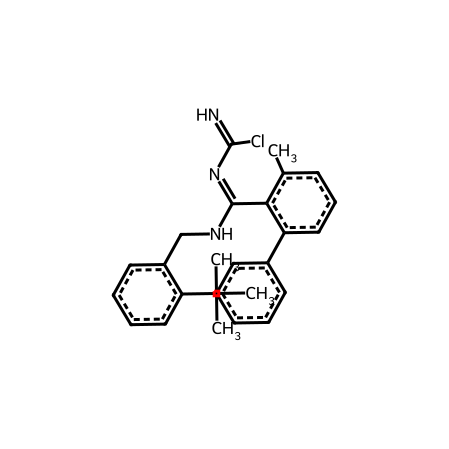 Cc1cccc(-c2ccccc2)c1/C(=N\C(=N)Cl)NCc1ccccc1C(C)(C)C